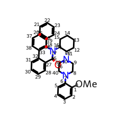 COc1ccccc1N1CCN([C@H]2CCCC[C@@H]2N(Cc2ccccc2)C(=O)c2ccccc2-c2ccccc2)CC1